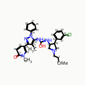 COCCN1CC(NC(O)Nc2c(C)c(-c3ccc(=O)n(C)c3)nn2-c2ccccc2)C(c2cccc(Cl)c2)C1